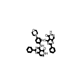 CSc1nc(-c2ccccc2)nc2cn[nH]c(=O)c12.O=c1[nH]ncc2nc(-c3ccccc3)nc(Nc3ccc(N4CCOCC4)cc3)c12